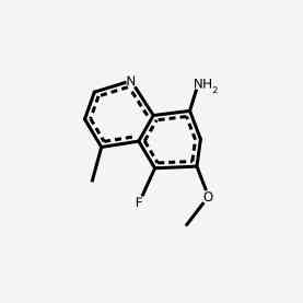 COc1cc(N)c2nccc(C)c2c1F